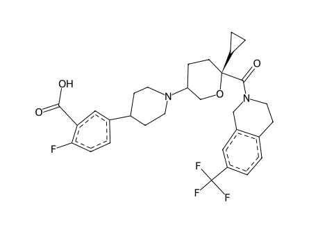 O=C(O)c1cc(C2CCN(C3CC[C@@](C(=O)N4CCc5ccc(C(F)(F)F)cc5C4)(C4CC4)OC3)CC2)ccc1F